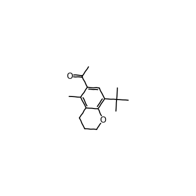 CC(=O)c1cc(C(C)(C)C)c2c(c1C)CCCO2